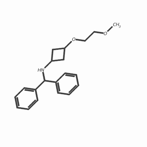 COCCOC1CC(NC(c2ccccc2)c2ccccc2)C1